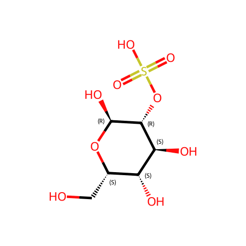 O=S(=O)(O)O[C@@H]1[C@@H](O)[C@H](O)[C@H](CO)O[C@H]1O